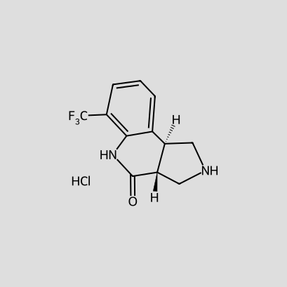 Cl.O=C1Nc2c(cccc2C(F)(F)F)[C@H]2CNC[C@H]12